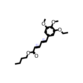 CCCCOC(=O)/C=C/C=C/c1cc(OC)c(OC)c(OCC)c1